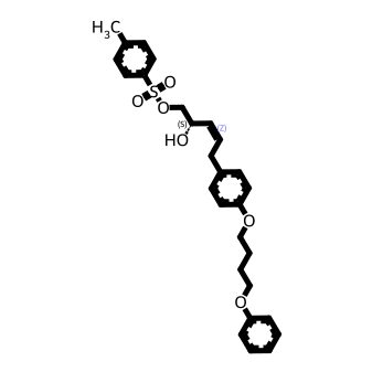 Cc1ccc(S(=O)(=O)OC[C@@H](O)/C=C\Cc2ccc(OCCCCOc3ccccc3)cc2)cc1